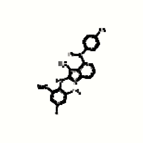 COc1cc(Br)cc(C)c1Nc1nc2cccc(N(c3ccc(C#N)cc3)C(C)C)c2n1C